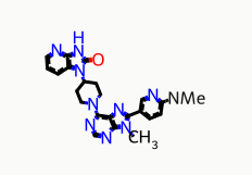 CNc1ccc(-c2nc3c(N4CCC(n5c(=O)[nH]c6ncccc65)CC4)ncnc3n2C)cn1